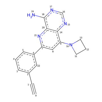 C#Cc1cccc(-c2cc(N3CCC3)c3ncnc(N)c3n2)c1